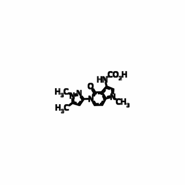 Cc1cc(-n2ccc3c(c(NC(=O)O)cn3C)c2=O)nn1C